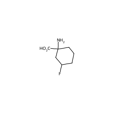 NC1(C(=O)O)CCCC(F)C1